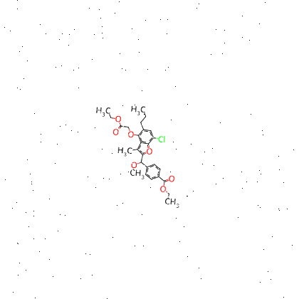 CCCc1cc(Cl)c2oc(C(OC)c3ccc(C(=O)OCC)cc3)c(C)c2c1OCC(=O)OCC